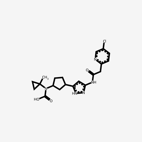 CC1(N(C(=O)O)C2CCC(c3cc(NC(=O)Cc4ccc(Cl)cn4)n[nH]3)C2)CC1